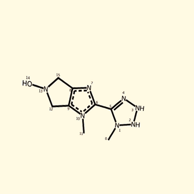 CN1NNN=C1c1nc2c(n1C)CN(O)C2